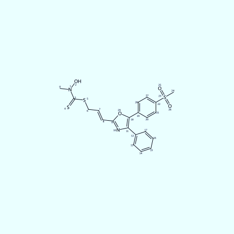 CN(O)C(=S)SCC=Cc1nc(-c2ccccc2)c(-c2ccc(S(C)(=O)=O)cc2)o1